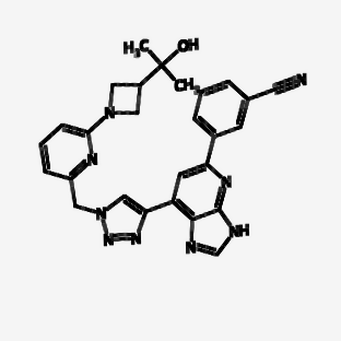 CC(C)(O)C1CN(c2cccc(Cn3cc(-c4cc(-c5cccc(C#N)c5)nc5[nH]cnc45)nn3)n2)C1